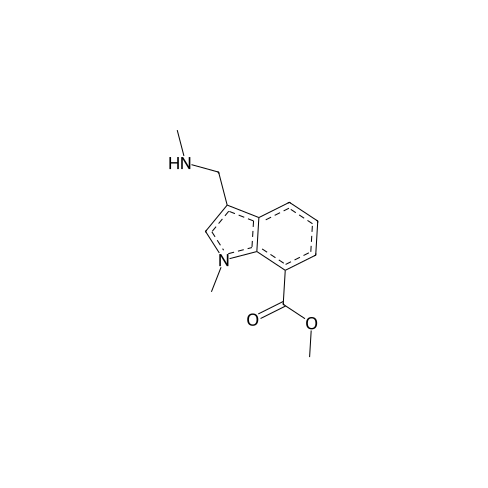 CNCc1cn(C)c2c(C(=O)OC)cccc12